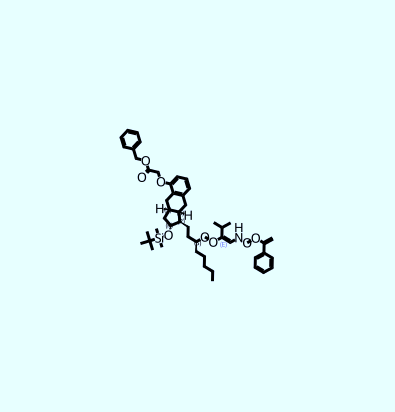 C=C(OON/C=C(/OO[C@@H](CCCCC)CC[C@@H]1[C@H]2Cc3cccc(OCC(=O)OCc4ccccc4)c3C[C@H]2C[C@H]1O[Si](C)(C)C(C)(C)C)C(C)C)c1ccccc1